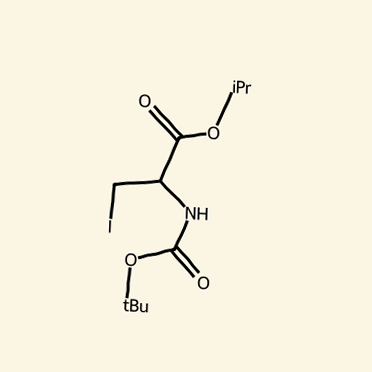 CC(C)OC(=O)C(CI)NC(=O)OC(C)(C)C